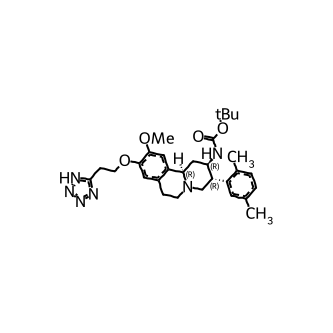 COc1cc2c(cc1OCCc1nnn[nH]1)CCN1C[C@@H](c3cc(C)ccc3C)[C@H](NC(=O)OC(C)(C)C)C[C@H]21